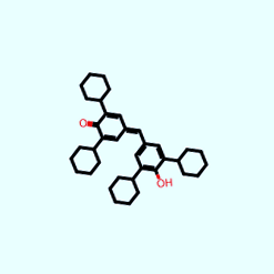 O=C1C(C2CCCCC2)=CC(=Cc2cc(C3CCCCC3)c(O)c(C3CCCCC3)c2)C=C1C1CCCCC1